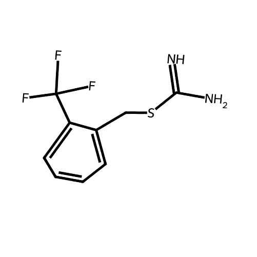 N=C(N)SCc1ccccc1C(F)(F)F